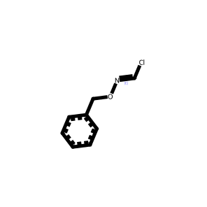 Cl/[C]=N/OCc1ccccc1